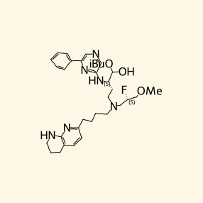 COC[C@@H](F)CN(CCCCc1ccc2c(n1)NCCC2)CC[C@H](Nc1cncc(-c2ccccc2)n1)C(O)OCC(C)C